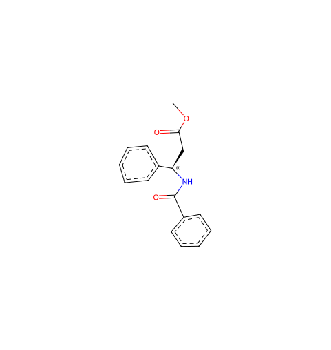 COC(=O)C[C@@H](NC(=O)c1ccccc1)c1ccccc1